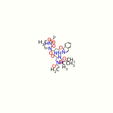 C=CC(=O)NCC(NC(=O)OC(C)(C)C)C(=O)N1CC(Oc2nccc3ccccc23)CC1C(=O)N(C(=O)NS(=O)(=O)C1CC1)C1CC1C=C